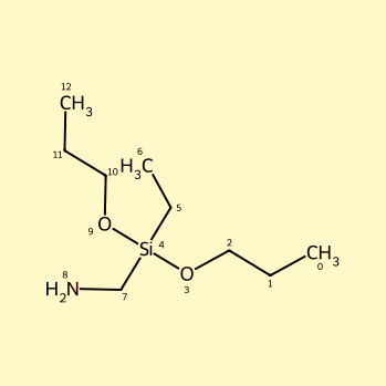 CCCO[Si](CC)(CN)OCCC